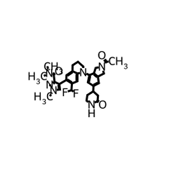 CC(=O)N1Cc2cc(C3CCNC(=O)C3)cc(N3CCCc4cc(-c5cn(C)nc5C(=O)N(C)C)c(C(F)F)cc43)c2C1